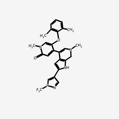 Cc1cccc(C)c1Oc1cn(C)c(=O)cc1C1=CN(C)Cc2[nH]c(-c3cnn(C(F)(F)F)c3)cc21